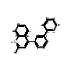 Cc1cc(-c2cccc(-c3ccccc3)c2)c2ccccc2n1